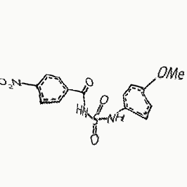 COc1ccc(NS(=O)(=O)NC(=O)c2ccc([N+](=O)[O-])cc2)cc1